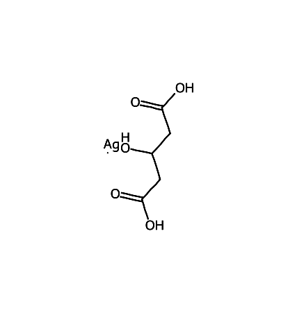 O=C(O)CC(O)CC(=O)O.[Ag]